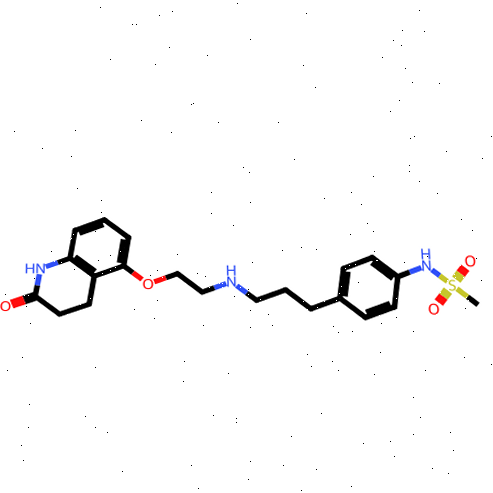 CS(=O)(=O)Nc1ccc(CCCNCCOc2cccc3c2CCC(=O)N3)cc1